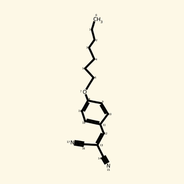 CCCCCCCOc1ccc(C=C(C#N)C#N)cc1